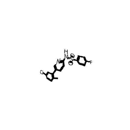 Cc1ccc(Cl)cc1-c1ccc(NS(=O)(=O)c2ccc(F)cc2)nc1